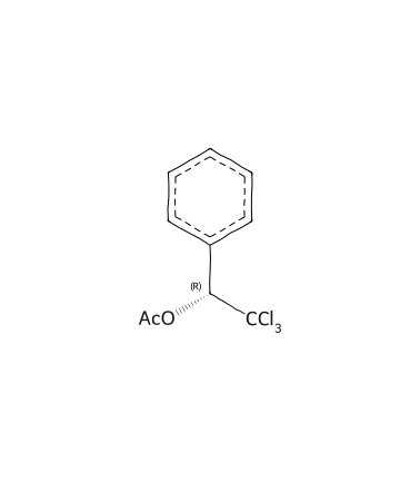 CC(=O)O[C@H](c1ccccc1)C(Cl)(Cl)Cl